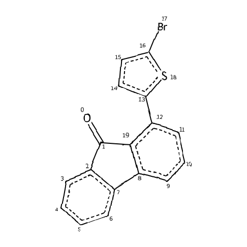 O=C1c2ccccc2-c2cccc(-c3ccc(Br)s3)c21